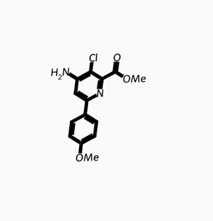 COC(=O)c1nc(-c2ccc(OC)cc2)cc(N)c1Cl